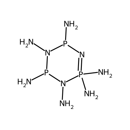 NN1P(N)N=P(N)(N)N(N)P1N